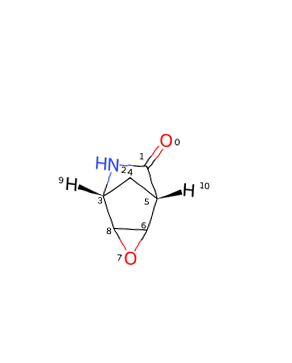 O=C1N[C@@H]2C[C@H]1C1OC12